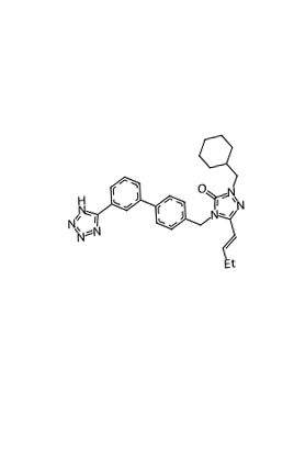 CC/C=C/c1nn(CC2CCCCC2)c(=O)n1Cc1ccc(-c2cccc(-c3nnn[nH]3)c2)cc1